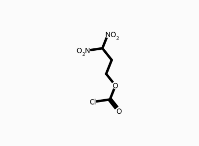 O=C(Cl)OCCC([N+](=O)[O-])[N+](=O)[O-]